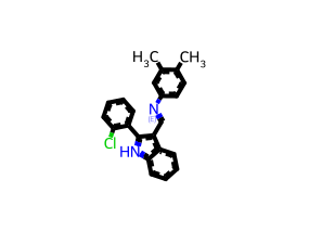 Cc1ccc(/N=C/c2c(-c3ccccc3Cl)[nH]c3ccccc23)cc1C